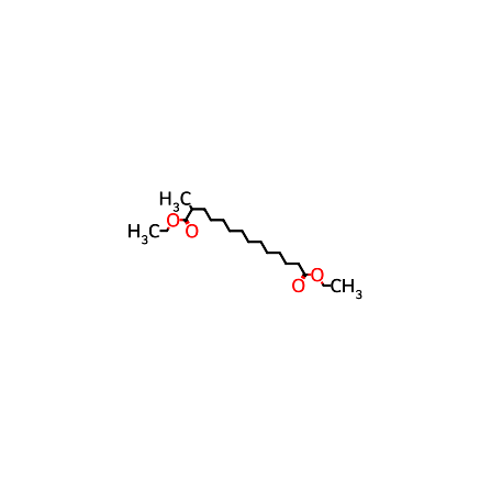 CCOC(=O)CCCCCCCCCCCC(C)C(=O)OCC